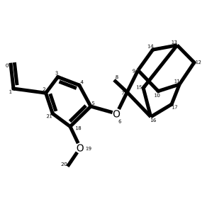 C=Cc1ccc(OC2(C)C3CC4CC(C3)CC2C4)c(OC)c1